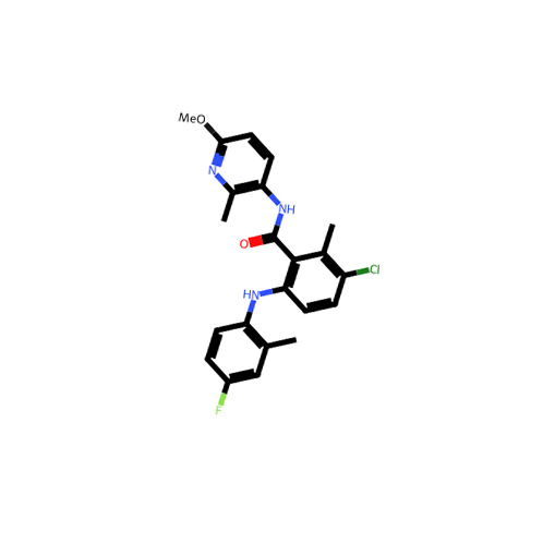 COc1ccc(NC(=O)c2c(Nc3ccc(F)cc3C)ccc(Cl)c2C)c(C)n1